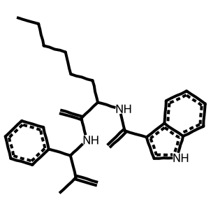 C=C(NC(CCCCCC)C(=C)NC(C(=C)C)c1ccccc1)c1c[nH]c2ccccc12